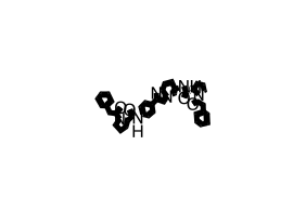 O=C(Nc1ccc(-c2cn3cc(NC(=O)[C@@H]4CCCN4C(=O)Cc4ccccc4)ccc3n2)cc1)C1CCCN1C(=O)Cc1ccccc1